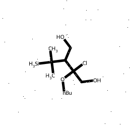 CCCCOC(Cl)(CO)C(CO)C(C)(C)[SiH3]